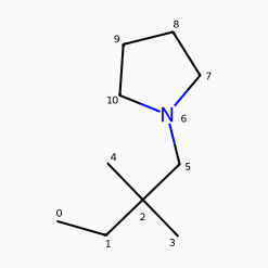 CCC(C)(C)CN1CCCC1